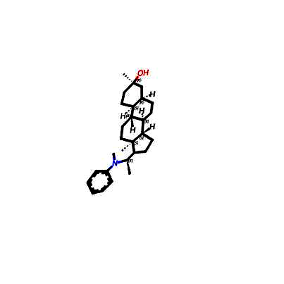 C[C@H](C1CC[C@H]2[C@@H]3CC[C@@H]4C[C@](C)(O)CC[C@@H]4[C@H]3CC[C@]12C)N(C)c1ccccc1